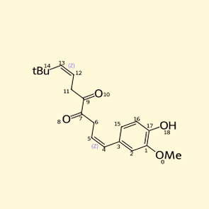 COc1cc(/C=C\CC(=O)C(=O)C/C=C\C(C)(C)C)ccc1O